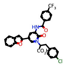 O=C(Nc1cc(-c2cc3ccccc3o2)cn(C(Cc2ccc(Cl)cc2)C(=O)O)c1=O)c1ccc(C(F)(F)F)cc1